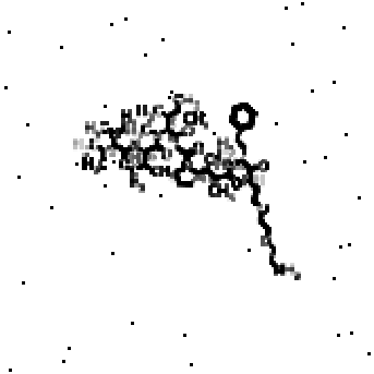 CC[C@H](C)[C@@H]([C@@H](CC(=O)N1CCC[C@H]1[C@H](OC)[C@@H](C)C(=O)N[C@H](CCc1ccccc1)C(=O)NCCOCCOCCN)OC)N(C)C(=O)[C@H](NC(=O)[C@H](C(C)C)N(C)C)C(C)C